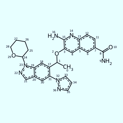 CC(Oc1cc2cc(C(N)=O)ccc2nc1N)c1cc2c(cnn2C2CCCCO2)cc1-n1cccn1